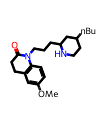 CCCCC1CCNC(CCCN2C(=O)CCc3cc(OC)ccc32)C1